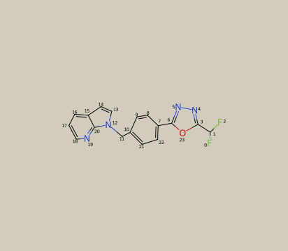 FC(F)c1nnc(-c2ccc(Cn3ccc4cccnc43)cc2)o1